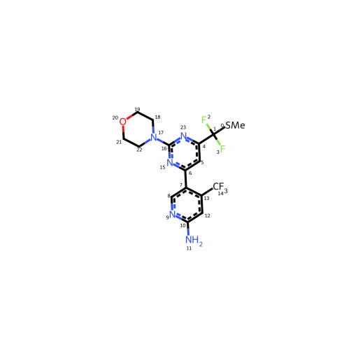 CSC(F)(F)c1cc(-c2cnc(N)cc2C(F)(F)F)nc(N2CCOCC2)n1